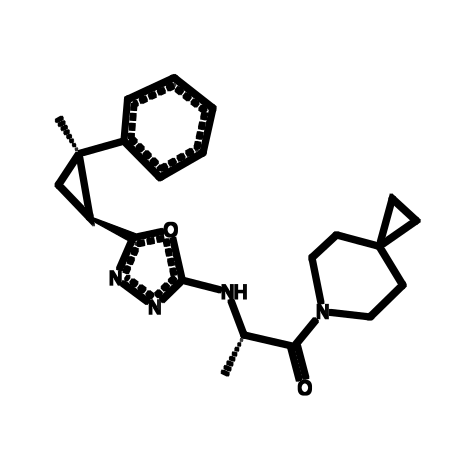 C[C@H](Nc1nnc([C@H]2C[C@@]2(C)c2ccccc2)o1)C(=O)N1CCC2(CC1)CC2